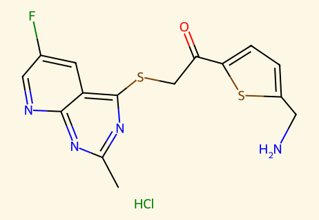 Cc1nc(SCC(=O)c2ccc(CN)s2)c2cc(F)cnc2n1.Cl